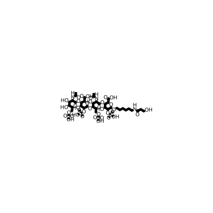 CC(=O)NC1C(OC2C(C(=O)O)OC(OC3C(COS(=O)(=O)O)OC(OC4C(C(=O)O)OC(OCCCCCCNC(=O)CCO)C(OS(=O)(=O)O)C4O)C(NC(C)=O)C3O)C(OS(=O)(=O)O)C2O)OC(COS(=O)(=O)O)C(O)C1O